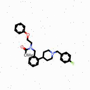 COC(=O)N(CCOc1ccccc1)Cc1ccccc1C1CCN(Cc2ccc(F)cc2)CC1